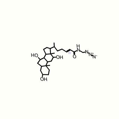 CC(CC/C=C/C(=O)NCN=[N+]=[N-])C1CCC2C3C(O)CC4CC(O)CCC4(C)C3CC(O)C12C